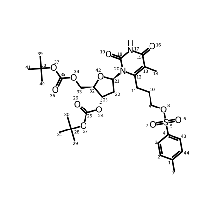 Cc1ccc(S(=O)(=O)OCCCc2c(C)c(=O)[nH]c(=O)n2[C@H]2C[C@H](OC(=O)OC(C)(C)C)[C@@H](COC(=O)OC(C)(C)C)O2)cc1